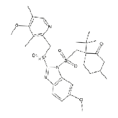 COc1ccc2nc([S@+]([O-])Cc3ncc(C)c(OC)c3C)n(S(=O)(=O)CC3(C(C)(C)C)CCC(C)CC3=O)c2c1